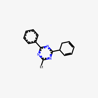 CCc1nc(-c2ccccc2)nc(C2C=CC=CC2)n1